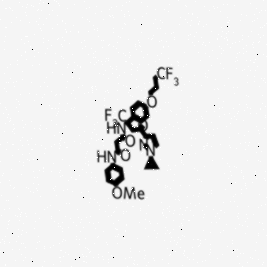 COc1ccc(NC(=O)CC(=O)NC(CC(=O)c2ccn(C3CC3)n2)(c2ccc(OCCCC(F)(F)F)cc2)C(F)(F)F)cc1